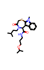 CC(C)CCN1C(=O)CSc2c(c3ccccc3n2C)C1C(=O)NCCCOC(C)C